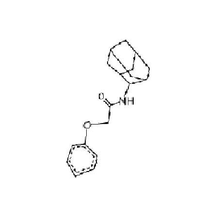 O=C(COc1ccccc1)NC1C2CC3CC(C2)CC1C3